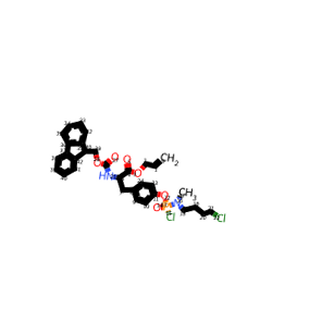 C=CCOC(=O)C(Cc1ccc(OP(=O)(Cl)N(C)CCCCCl)cc1)NC(=O)OCC1c2ccccc2-c2ccccc21